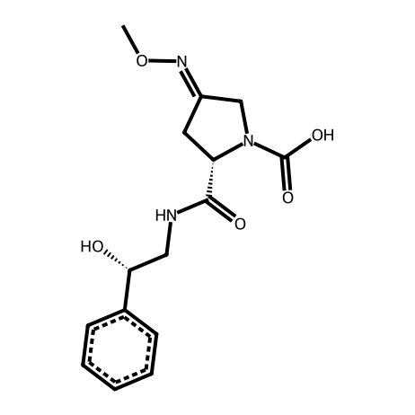 CO/N=C1\C[C@@H](C(=O)NC[C@@H](O)c2ccccc2)N(C(=O)O)C1